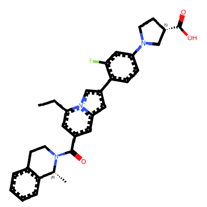 CCc1cc(C(=O)N2CCc3ccccc3[C@H]2C)cc2cc(-c3ccc(N4CC[C@H](C(=O)O)C4)cc3F)cn12